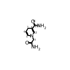 NC(=O)CN1C=CCC(C(N)=O)=C1